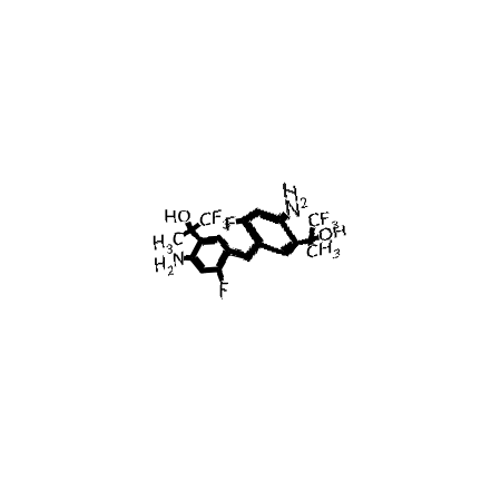 CC(O)(c1cc(Cc2cc(C(C)(O)C(F)(F)F)c(N)cc2F)c(F)cc1N)C(F)(F)F